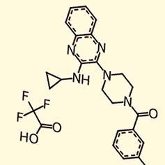 O=C(O)C(F)(F)F.O=C(c1cccc(Cl)c1)N1CCN(c2nc3ccccc3nc2NC2CC2)CC1